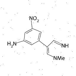 CN/C=C(\C=N)c1cc(N)cc([N+](=O)[O-])c1